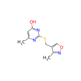 Cc1cc(O)nc(SCc2conc2C)n1